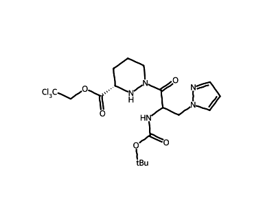 CC(C)(C)OC(=O)NC(Cn1cccn1)C(=O)N1CCC[C@@H](C(=O)OCC(Cl)(Cl)Cl)N1